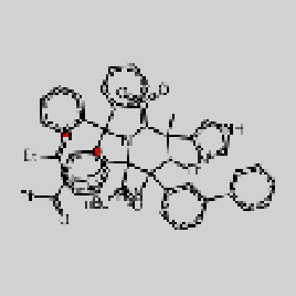 CCCCC(=O)C1(C(=O)ON(C(=O)CC)C(=O)CC)N(C(c2ccccc2)(c2ccccc2)c2ccccc2)C(=S(=O)=O)C(C)(c2c[nH]cn2)C(CC)C1(N)c1cccc(-c2ccccc2)c1